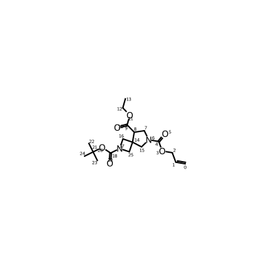 C=CCOC(=O)N1CC(C(=O)OCC)C2(C1)CN(C(=O)OC(C)(C)C)C2